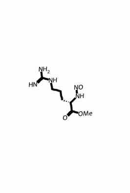 COC(=O)[C@H](CCCNC(=N)N)NN=O